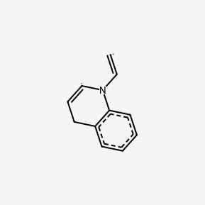 [CH]=CN1[C]=CCc2ccccc21